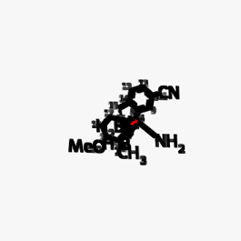 BC1(B)OC(N)=N[C@]12c1cc(C#N)ccc1C[C@]21CC[C@@H](OC)[C@H](C)C1